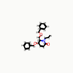 CCCN1C(=O)C=C[C@@H](OCc2ccccc2)[C@H]1COCc1ccccc1